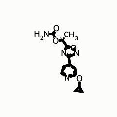 C[C@H](OC(N)=O)c1nc(-c2ccnc(OC3CC3)c2)no1